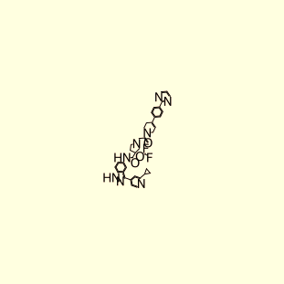 O=C(CN1CC[C@@](OC(F)F)(C(=O)Nc2ccc3[nH]nc(-c4ccnc(C5CC5)c4)c3c2)C1)N1CC=C(c2ccc(-c3ncccn3)cc2)CC1